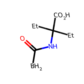 BC(=O)NC(CC)(CC)C(=O)O